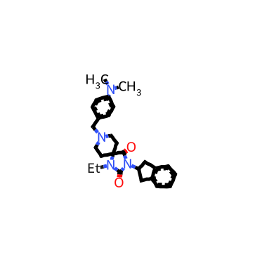 CCN1C(=O)N(C2Cc3ccccc3C2)C(=O)C12CCN(Cc1ccc(N(C)C)cc1)CC2